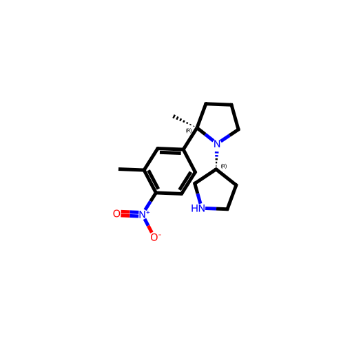 Cc1cc([C@@]2(C)CCCN2[C@@H]2CCNC2)ccc1[N+](=O)[O-]